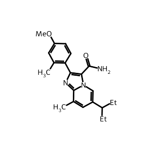 CCC(CC)c1cc(C)c2nc(-c3ccc(OC)cc3C)c(C(N)=O)n2c1